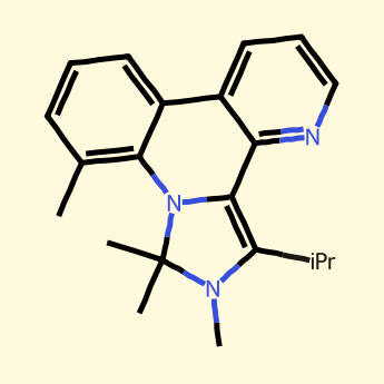 Cc1cccc2c1N1C(=C(C(C)C)N(C)C1(C)C)c1ncccc1-2